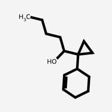 CCCCC(O)C1(C2C=CCCC2)CC1